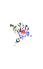 CC(C)CN(C)C(=O)c1ccccc1-n1cnc(Cn2nc(-c3ccc(Cl)cc3)n(CC(O)C(F)(F)F)c2=O)n1